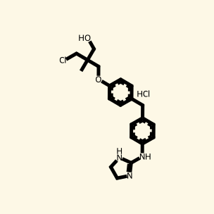 CC(CO)(CCl)COc1ccc(Cc2ccc(NC3=NCCN3)cc2)cc1.Cl